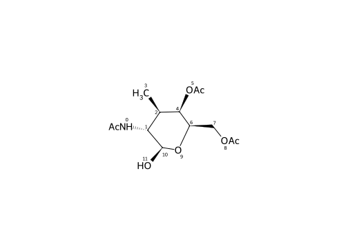 CC(=O)N[C@@H]1[C@@H](C)[C@@H](OC(C)=O)[C@@H](COC(C)=O)O[C@H]1O